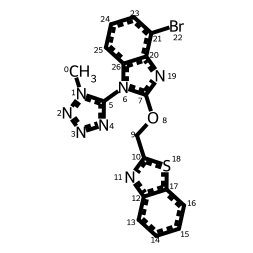 Cn1nnnc1-n1c(OCc2nc3ccccc3s2)nc2c(Br)cccc21